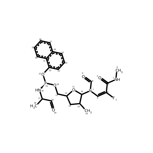 CNC(=O)/C(F)=C\N(C=O)C1OC(CO[P@@](NC(C)C=O)Oc2cccc3ccccc23)CC1C